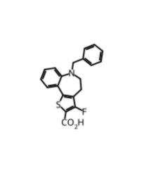 O=C(O)c1sc2c(c1F)CCN(Cc1ccccc1)c1ccccc1-2